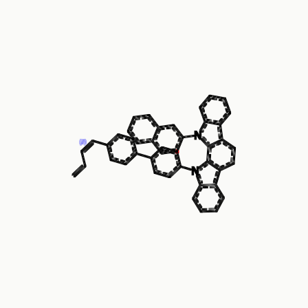 C=C/C=C\c1ccc(-c2ccc(-n3c4ccccc4c4ccc5c6ccccc6n(-c6ccc7ccccc7c6)c5c43)cc2)cc1